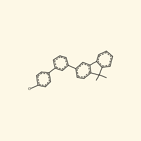 CC1(C)c2ccccc2-c2cc(-c3cccc(-c4ccc(Cl)cc4)c3)ccc21